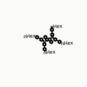 CCCCCCc1ccc(-c2ccc(N(c3ccc(-c4ccc(CCCCCC)cc4)cc3)c3cc4c5ccccc5c(N(c5ccc(-c6ccc(CCCCCC)cc6)cc5)c5ccc(-c6ccc(CCCCCC)cc6)cc5)cc4c4ccccc34)cc2)cc1